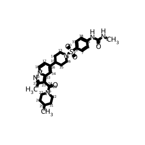 CNC(=O)Nc1ccc(S(=O)(=O)N2CCC(c3ccn4nc(C)c(C(=O)N5CCC(C)CC5)c4c3)CC2)cc1